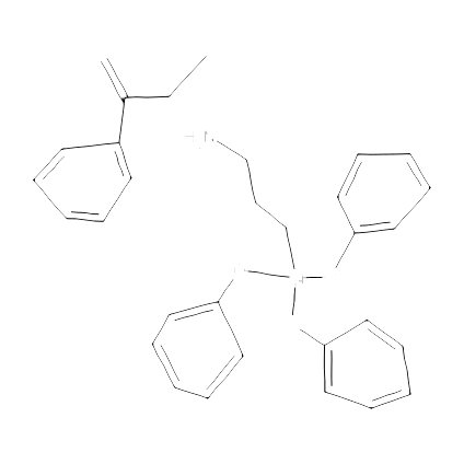 C=C(CC)c1ccccc1.NCCC[Si](Oc1ccccc1)(Oc1ccccc1)Oc1ccccc1